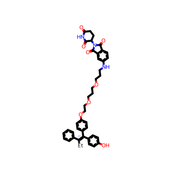 CC/C(=C(\c1ccc(O)cc1)c1ccc(OCCOCCCOCCCNc2ccc3c(c2)C(=O)N(C2CCC(=O)NC2=O)C3=O)cc1)c1ccccc1